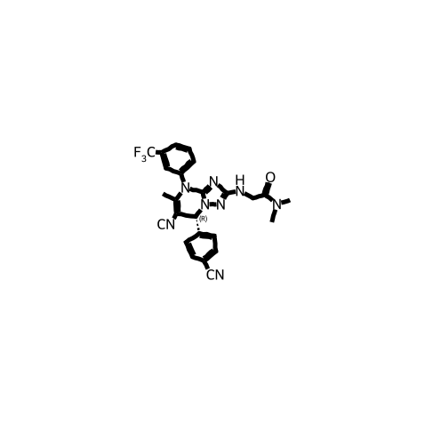 [C-]#[N+]C1=C(C)N(c2cccc(C(F)(F)F)c2)c2nc(NCC(=O)N(C)C)nn2[C@@H]1c1ccc(C#N)cc1